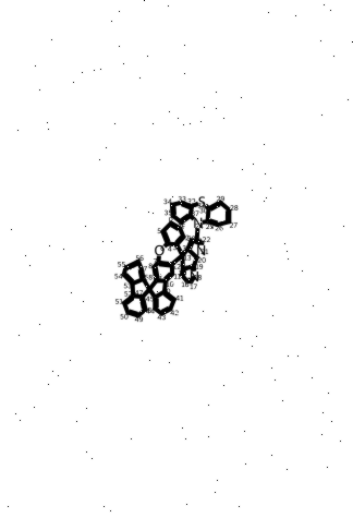 c1ccc2c(c1)Oc1cc3c(cc1C21c2cccnc2-c2ncc(N4c5ccccc5Sc5ccccc54)cc21)-c1ccccc1C31c2ccccc2-c2ccccc21